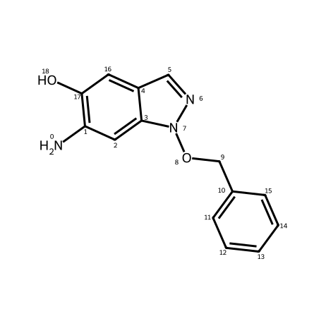 Nc1cc2c(cnn2OCc2ccccc2)cc1O